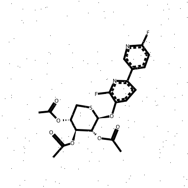 CC(=O)O[C@@H]1[C@@H](OC(C)=O)[C@H](OC(C)=O)CS[C@H]1Oc1ccc(-c2ccc(F)nc2)nc1F